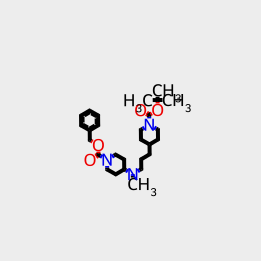 CN(CCCC1CCN(C(=O)OC(C)(C)C)CC1)C1CCN(C(=O)OCc2ccccc2)CC1